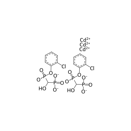 O=P([O-])([O-])C(O)P(=O)([O-])Oc1ccccc1Cl.O=P([O-])([O-])C(O)P(=O)([O-])Oc1ccccc1Cl.[Cd+2].[Cd+2].[Cd+2]